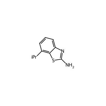 CC(C)c1cccc2nc(N)sc12